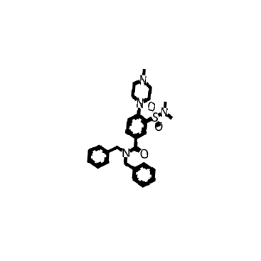 CN1CCN(c2ccc(C(=O)N(Cc3ccccc3)Cc3ccccc3)cc2S(=O)(=O)N(C)C)CC1